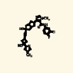 Cn1cnc(C2(O)CC(C#CC3(O)CC4CC(c5ncn(C)c5C(=O)Nc5ccc(F)c(Cl)c5)CC4C3)C2)c1